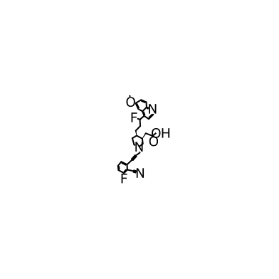 COc1ccc2nccc(C(F)CC[C@@H]3CCN(CC#Cc4cccc(F)c4C#N)C[C@@H]3CC(=O)O)c2c1